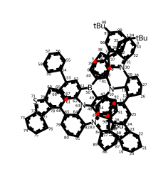 CC(C)(C)c1cc(-c2ccc3c(c2)N(c2c(-c4ccc5sc6ccccc6c5c4)cccc2-n2c4ccccc4c4ccccc42)c2cc(C(C)(C)C)cc4c2B3c2cc(-c3ccccc3)ccc2N4c2c(-c3cccc4sc5ccccc5c34)cccc2-n2c3ccccc3c3ccccc32)cc(C(C)(C)C)c1